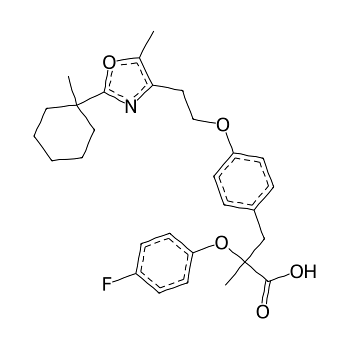 Cc1oc(C2(C)CCCCC2)nc1CCOc1ccc(CC(C)(Oc2ccc(F)cc2)C(=O)O)cc1